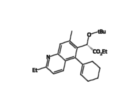 CCOC(=O)[C@@H](OC(C)(C)C)c1c(C)cc2nc(CC)ccc2c1C1=CCCCC1